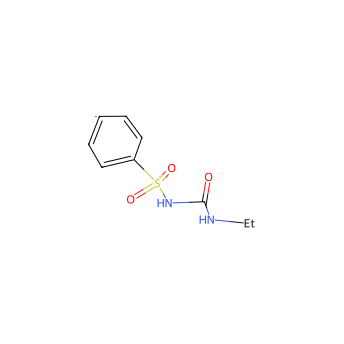 CCNC(=O)NS(=O)(=O)c1cc[c]cc1